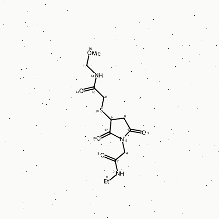 CCNC(=O)CN1C(=O)CC(SCC(=O)NCOC)C1=O